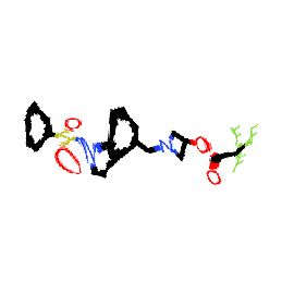 O=C(OC1CN(Cc2cccc3c2ccn3S(=O)(=O)c2ccccc2)C1)C(F)(F)F